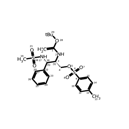 C=C(N[C@H](COS(=O)(=O)c1ccc(C)cc1)[C@@H](NS(C)(=O)=O)c1ccccc1)OC(C)(C)C